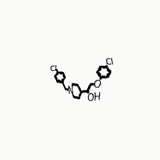 OC(COc1ccc(Cl)cc1)C1CCN(Cc2ccc(Cl)cc2)CC1